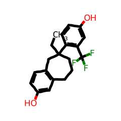 CCC1(c2ccc(O)cc2C(F)(F)F)CCCc2cc(O)ccc2C1